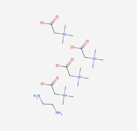 C[N+](C)(C)CC(=O)[O-].C[N+](C)(C)CC(=O)[O-].C[N+](C)(C)CC(=O)[O-].C[N+](C)(C)CC(=O)[O-].NCCN